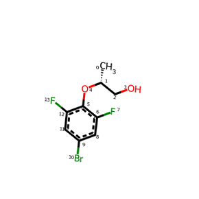 C[C@H](CO)Oc1c(F)cc(Br)cc1F